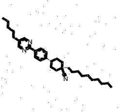 CCCCCCCCCC[C@]1(C#N)CC[C@H](c2ccc(-c3ncc(CCCCC)cn3)cc2)CC1